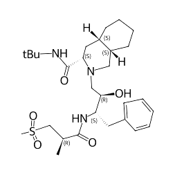 C[C@@H](CS(C)(=O)=O)C(=O)N[C@@H](Cc1ccccc1)[C@H](O)CN1C[C@H]2CCCC[C@H]2C[C@H]1C(=O)NC(C)(C)C